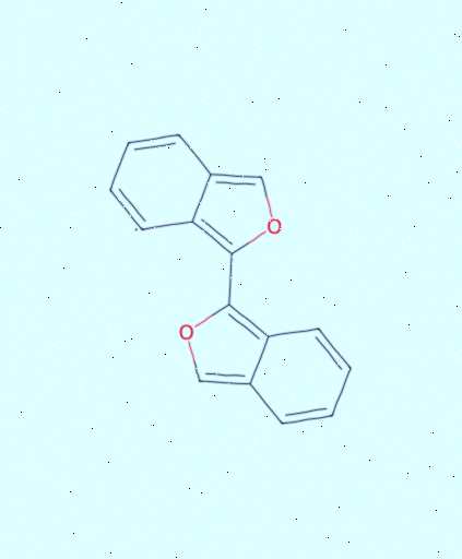 [c]1cccc2coc(-c3occ4ccccc34)c12